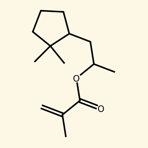 C=C(C)C(=O)OC(C)CC1CCCC1(C)C